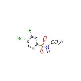 O=C(O)NS(=O)(=O)c1ccc(Br)c(F)c1